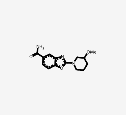 COC1CCCN(c2nc3cc(C(N)=O)ccc3o2)C1